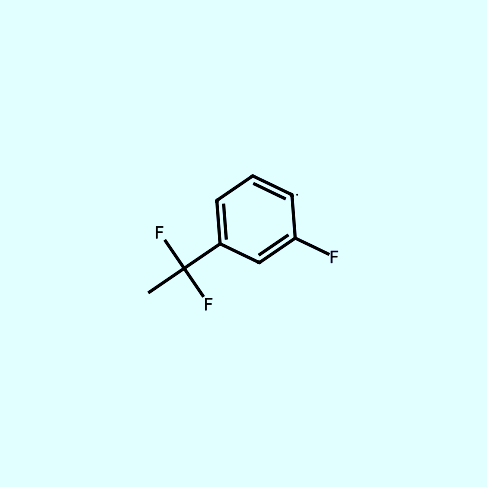 CC(F)(F)c1cc[c]c(F)c1